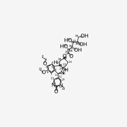 CCOc1cc2c(cc1OC)C(c1cnc(=O)n(C)c1)=N[C@@H]1CC[C@@H](OC(=O)[C@H](O)[C@@H](O)[C@H](O)[C@H](O)CO)C[C@H]21